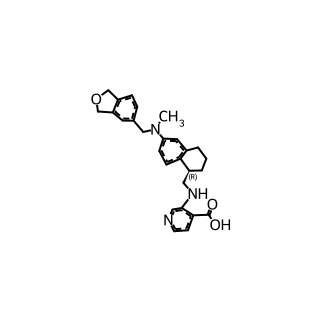 CN(Cc1ccc2c(c1)COC2)c1ccc2c(c1)CCC[C@H]2CNc1cnccc1C(=O)O